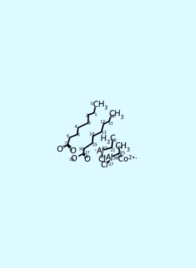 CCCCCCCC(=O)[O-].CCCCCCCC(=O)[O-].C[CH2][Al][Cl].C[CH2][Al][Cl].[Co+2]